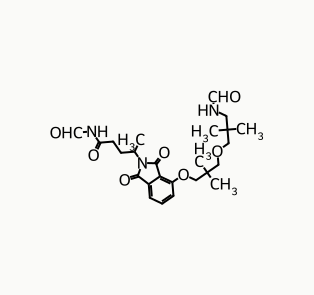 CC(CCC(=O)NC=O)N1C(=O)c2cccc(OCC(C)(C)COCC(C)(C)CNC=O)c2C1=O